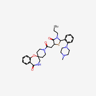 CN1CCN(c2ccccc2C2SC(CC(=O)N3CCC4(CC3)CNC(=O)c3ccccc3O4)C(=O)N2CCC(C)(C)C)CC1